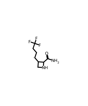 NC(=O)C1NCC1[CH]CCC(F)(F)F